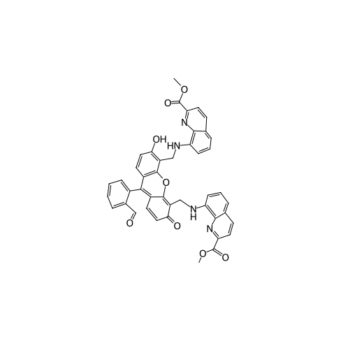 COC(=O)c1ccc2cccc(NCc3c4oc5c(CNc6cccc7ccc(C(=O)OC)nc67)c(O)ccc5c(-c5ccccc5C=O)c-4ccc3=O)c2n1